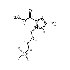 CC(=O)c1cc(C(=O)OC(C)(C)C)n(COCC[Si](C)(C)C)n1